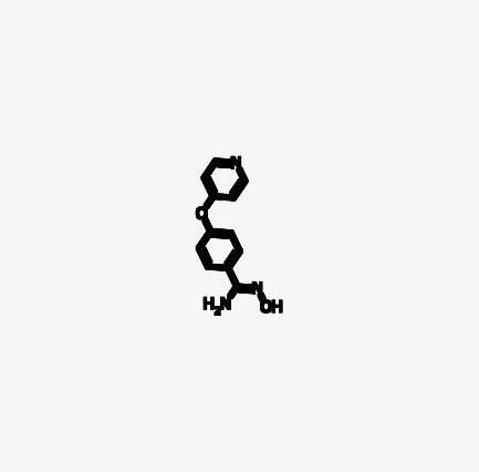 N/C(=N\O)c1ccc(Oc2ccncc2)cc1